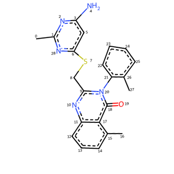 Cc1nc(N)cc(SCc2nc3cccc(C)c3c(=O)n2-c2ccccc2C)n1